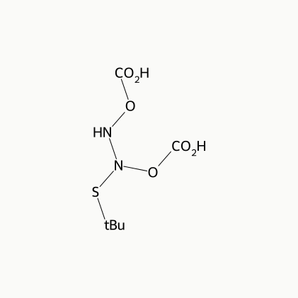 CC(C)(C)SN(NOC(=O)O)OC(=O)O